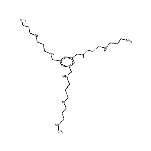 CNCCCNCCCNCc1cc(CNCCCNCCCN)cc(CNCCCNCCCN)c1